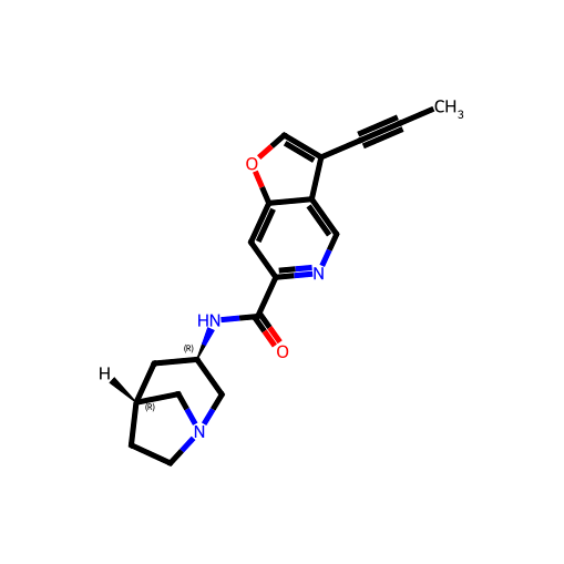 CC#Cc1coc2cc(C(=O)N[C@@H]3C[C@H]4CCN(C4)C3)ncc12